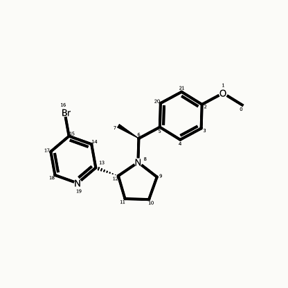 COc1ccc([C@H](C)N2CCC[C@@H]2c2cc(Br)ccn2)cc1